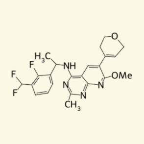 COc1nc2nc(C)nc(NC(C)c3cccc(C(F)F)c3F)c2cc1C1=CCOCC1